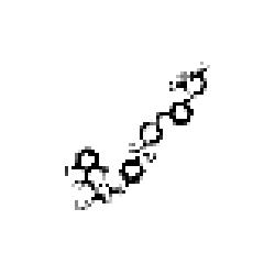 Nc1nc(Nc2ccc(S(=O)(=O)N3CCN(Cc4cccc(N5CCC(=O)NC5=O)c4)CC3)cc2)nn1C(=O)c1c(F)cccc1F